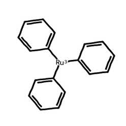 c1cc[c]([Ru-3]([c]2ccccc2)[c]2ccccc2)cc1